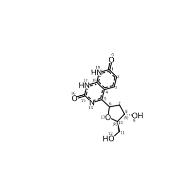 O=c1ccc2c(C3C[C@H](O)[C@@H](CO)O3)nc(=O)[nH]c2[nH]1